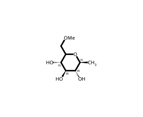 COCC1O[C@@H](C)[C@H](O)[C@@H](O)[C@@H]1O